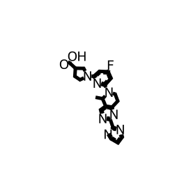 CC1c2cnc(-c3ncccn3)nc2CCN1c1cc(F)cc(N2CCC(C(=O)O)C2)n1